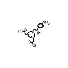 CN(C)C(CN1CCN(CC(=O)O)CCN(CC(=O)O)CC1)c1ccc(N)cc1